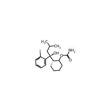 CC(C)C[C@@](O)(c1ccccc1I)[C@H]1CCCCC1OC(N)=O